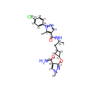 Cc1c(C(=O)N[C@@H](C)CC2CC(Oc3nn(C)cc3C(N)=O)C2)cnn1-c1ccc(Cl)cc1